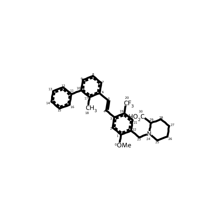 COc1cc(C=Cc2cccc(-c3ccccc3)c2C)c(C(F)(F)F)cc1CN1CCCCC1C(=O)O